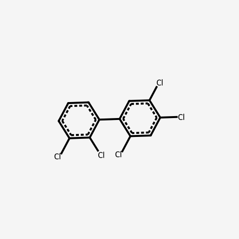 Clc1cc(Cl)c(-c2cccc(Cl)c2Cl)cc1Cl